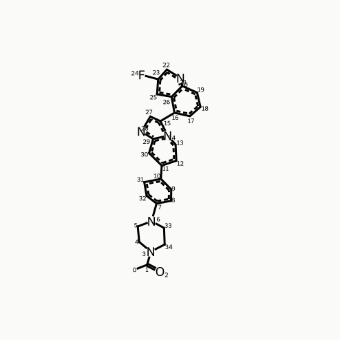 CC(=O)N1CCN(c2ccc(-c3ccn4c(-c5cccc6ncc(F)cc56)cnc4c3)cc2)CC1